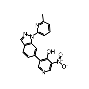 Cc1cccc(-n2ncc3ccc(-c4cncc([N+](=O)[O-])c4O)cc32)n1